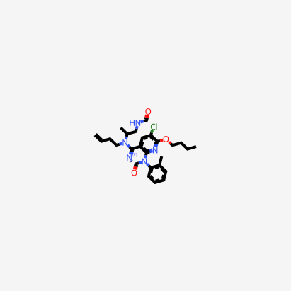 C=CCCN(/C(=N/C)c1cc(Cl)c(OCCCC)nc1N(C=O)c1ccccc1C)C(C)CNC=O